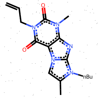 C=CCn1c(=O)c2c(nc3n(CCCC)c(C)cn23)n(C)c1=O